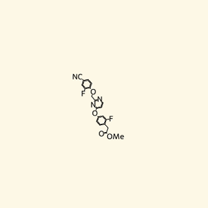 COC(=O)Cc1ccc(Oc2ccnc(COc3ccc(C#N)cc3F)n2)cc1F